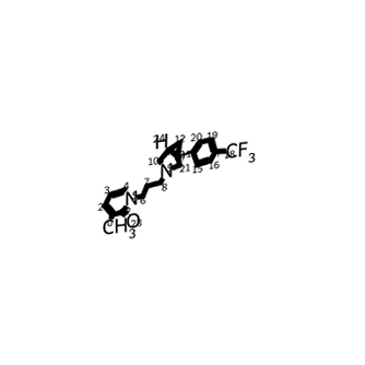 Cc1cccn(CCCN2C[C@@H]3C[C@]3(c3ccc(C(F)(F)F)cc3)C2)c1=O